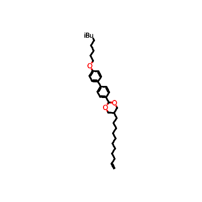 C=CCCCCCCCCCC1COC(c2ccc(-c3ccc(OCCCCCC(C)CC)cc3)cc2)OC1